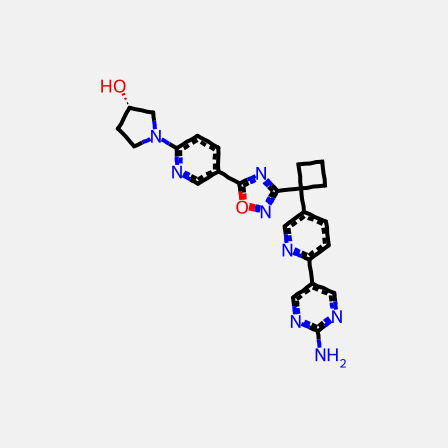 Nc1ncc(-c2ccc(C3(c4noc(-c5ccc(N6CC[C@H](O)C6)nc5)n4)CCC3)cn2)cn1